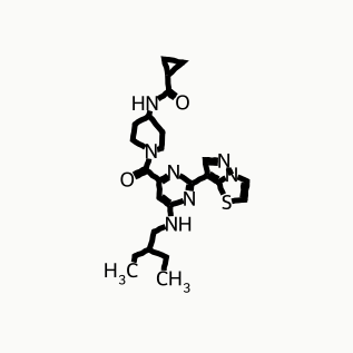 CCC(CC)CNc1cc(C(=O)N2CCC(NC(=O)C3CC3)CC2)nc(-c2cnn3ccsc23)n1